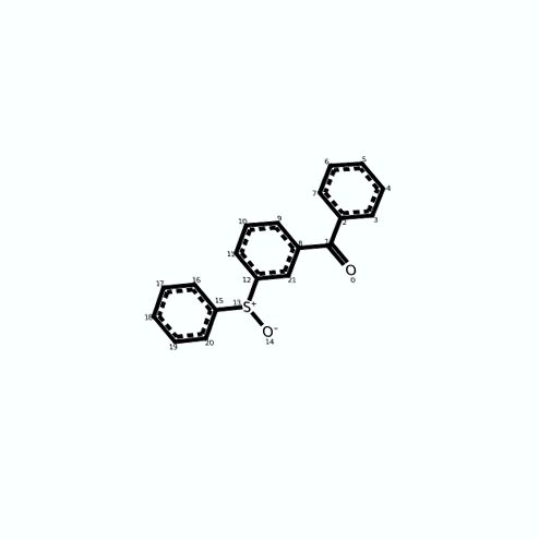 O=C(c1ccccc1)c1cccc([S+]([O-])c2ccccc2)c1